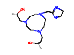 C[C@H](O)CN1CCN(CC2=NCC=N2)CCN(C[C@H](C)O)CC1